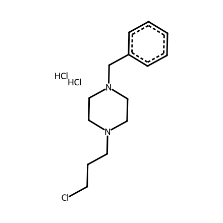 Cl.Cl.ClCCCN1CCN(Cc2ccccc2)CC1